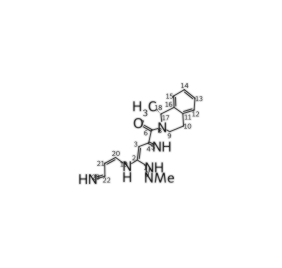 CNN/C(=C\C(=N)C(=O)N1CCc2ccccc2[C@H]1C)N/C=C\C=N